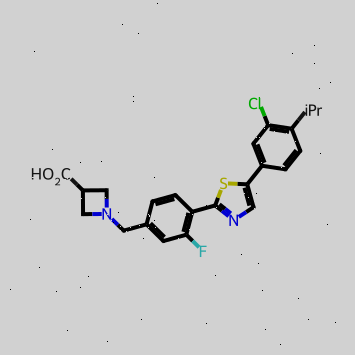 CC(C)c1ccc(-c2cnc(-c3ccc(CN4CC(C(=O)O)C4)cc3F)s2)cc1Cl